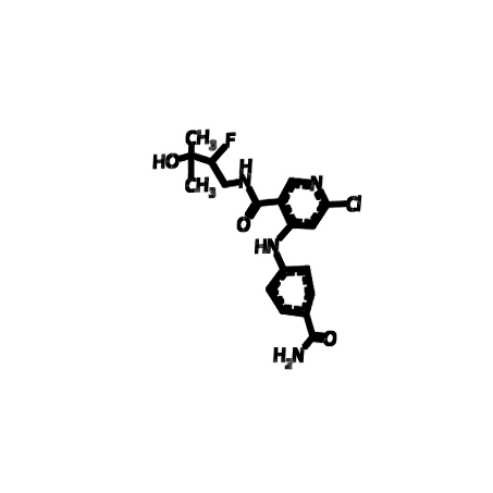 CC(C)(O)C(F)CNC(=O)c1cnc(Cl)cc1Nc1ccc(C(N)=O)cc1